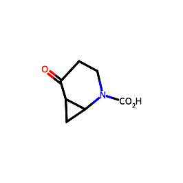 O=C1CCN(C(=O)O)C2CC12